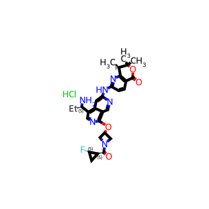 CC[C@H](N)c1cnc(OC2CN(C(=O)[C@@H]3C[C@@H]3F)C2)c2cnc(Nc3ccc4c(n3)[C@@H](C)C(C)(C)OC4=O)cc12.Cl